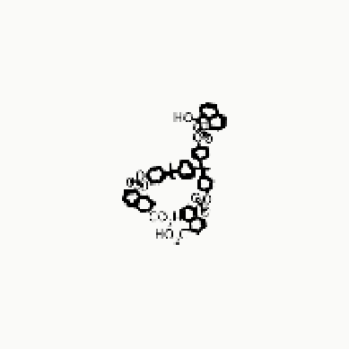 CC(C)(c1ccc(OS(=O)(=O)c2cccc3c2C=CC(C(=O)O)C3)cc1)c1ccc(C(C)(c2ccc(OS(=O)(=O)C3=CC=CC4C=CCC(CO)[C@H]34)cc2)c2ccc(OS(=O)(=O)c3cccc4c3C=CCC4C(=O)O)cc2)cc1